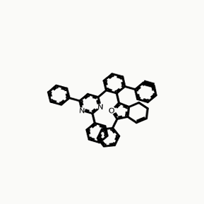 c1cccc(-c2cccc(-c3cc(-c4ccccc4)nc(-c4ccccc4)n3)c2-c2oc(-c3ccccc3)c3c2CCC=C3)c#1